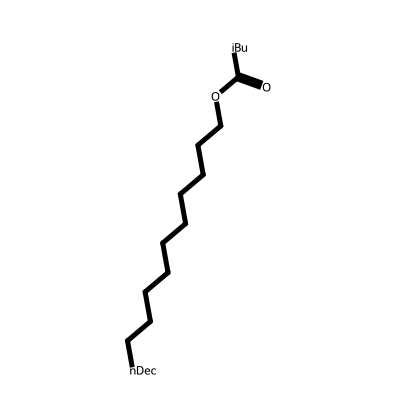 CCCCCCCCCCCCCCCCCCCCOC(=O)C(C)CC